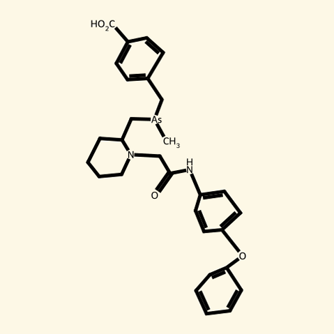 C[As](Cc1ccc(C(=O)O)cc1)CC1CCCCN1CC(=O)Nc1ccc(Oc2ccccc2)cc1